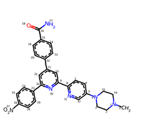 CN1CCN(c2ccc(-c3cc(-c4ccc(C(N)=O)cc4)cc(-c4ccc([N+](=O)[O-])cc4)n3)nc2)CC1